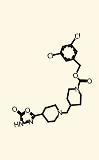 O=C(OCc1cc(Cl)cc(Cl)c1)N1CCC(CN2CCC(c3n[nH]c(=O)o3)CC2)CC1